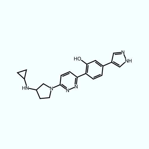 Oc1cc(-c2cn[nH]c2)ccc1-c1ccc(N2CCC(NC3CC3)C2)nn1